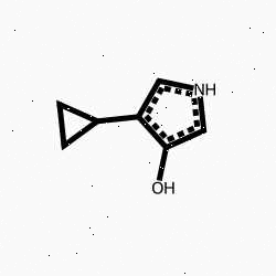 Oc1c[nH]cc1C1CC1